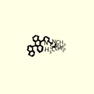 CC1(C)N=C(c2cccc(-c3c4ccccc4c(-c4cccc5ccccc45)c4ccccc34)n2)SC1(C)C